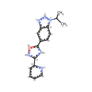 CC(C)n1nnc2cc(-c3nc(-c4ccccn4)no3)ccc21